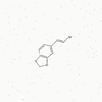 SC=Cc1ccc2c(c1)OCO2